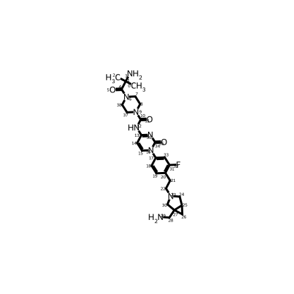 CC(C)(N)C(=O)N1CCN(C(=O)Nc2ccn(-c3ccc(CCN4CC5CC5(CN)C4)c(F)c3)c(=O)n2)CC1